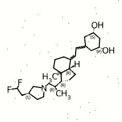 C[C@@H](CN1CC[C@@H](CC(F)F)C1)[C@H]1CC[C@H]2C(=CC=C3C[C@@H](O)C[C@@H](O)C3)CCC[C@]12C